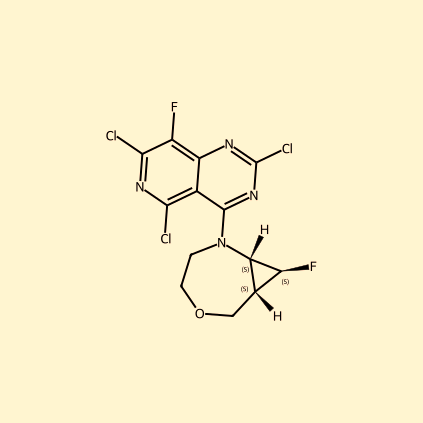 Fc1c(Cl)nc(Cl)c2c(N3CCOC[C@H]4[C@H](F)[C@H]43)nc(Cl)nc12